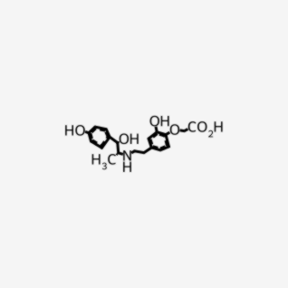 C[C@H](NCCc1ccc(OCC(=O)O)c(O)c1)[C@@H](O)c1ccc(O)cc1